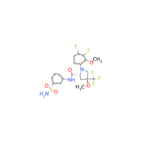 COc1c(N2C[C@](OC)(C(F)(F)F)C[C@@H]2C(=O)Nc2cccc(S(N)(=O)=O)c2)ccc(F)c1F